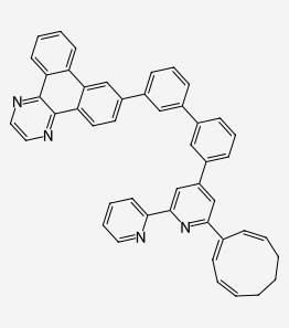 C1=C/CCC\C=C/C(c2cc(-c3cccc(-c4cccc(-c5ccc6c(c5)c5ccccc5c5nccnc65)c4)c3)cc(-c3ccccn3)n2)=C\1